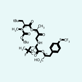 C[C@@H](OC(=O)[C@H](CC(C)(C)C)N(C)C(=O)OC(C)(C)C)C(=O)CN[C@@H](CC(C)(C)F)C(=O)O[C@H](Cc1ccc(SC(F)(F)F)cc1)C(=O)O